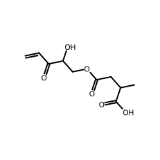 C=CC(=O)C(O)COC(=O)CC(C)C(=O)O